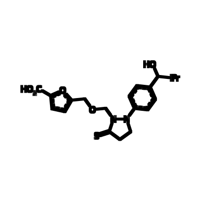 CC(C)C(O)c1ccc(N2CCC(=S)N2COCc2ccc(C(=O)O)o2)cc1